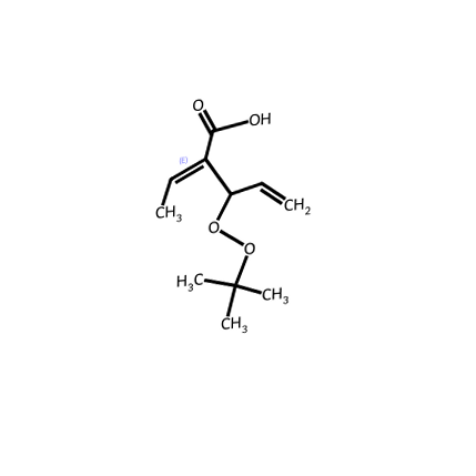 C=CC(OOC(C)(C)C)/C(=C\C)C(=O)O